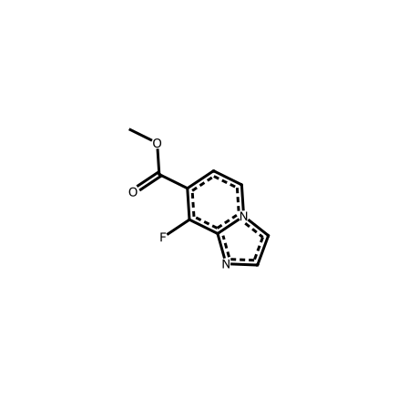 COC(=O)c1ccn2ccnc2c1F